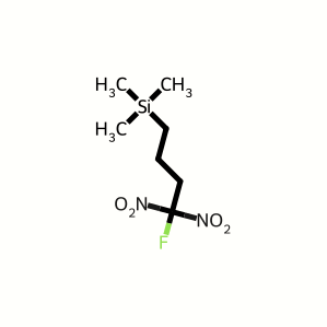 C[Si](C)(C)CCCC(F)([N+](=O)[O-])[N+](=O)[O-]